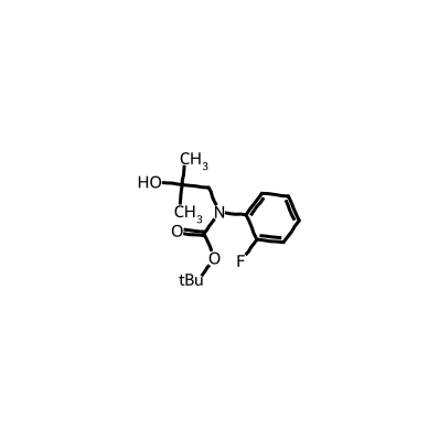 CC(C)(O)CN(C(=O)OC(C)(C)C)c1ccccc1F